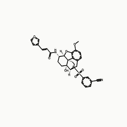 COc1ccc2c3c1O[C@@H]1[C@@H](NC(=O)/C=C/c4ccoc4)CC[C@]4(O)[C@H](C2)N(S(=O)(=O)c2cccc(C#N)c2)CC[C@@]314